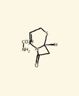 NC(=O)O.O=C1C[C@H]2SCC=CN12